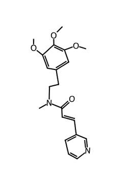 COc1cc(CCN(C)C(=O)C=Cc2cccnc2)cc(OC)c1OC